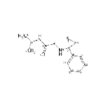 CC(C)NC(=O)CNC1(c2ccccc2)CC1